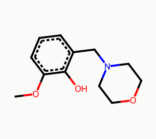 COc1cccc(CN2CCOCC2)c1O